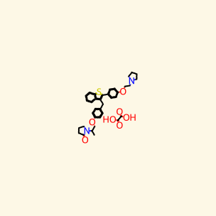 CC(COc1ccc(Cc2c(-c3ccc(OCCN4CCCC4)cc3)sc3ccccc23)cc1)N1CCCC1=O.O=C(O)C(=O)O